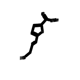 COC(=O)c1ccc(C=CCO)s1